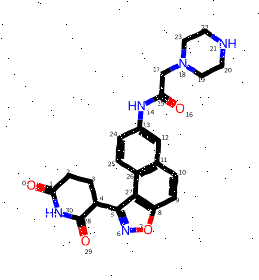 O=C1CCC(c2noc3ccc4cc(NC(=O)CN5CCNCC5)ccc4c23)C(=O)N1